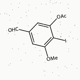 COc1cc(C=O)cc(OC(C)=O)c1I